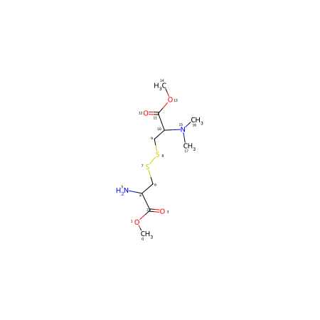 COC(=O)C(N)CSSCC(C(=O)OC)N(C)C